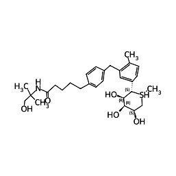 Cc1ccc([C@H]2[C@H](O)[C@H](O)[C@H](O)C[SH]2C)cc1Cc1ccc(CCCCC(=O)NC(C)(C)CO)cc1